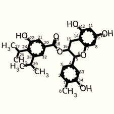 Cc1ccc(C2Oc3cc(O)cc(O)c3CC2OC(=O)c2cc(O)c(C(C)C)c(C(C)C)c2)cc1O